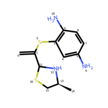 C=C(Sc1cc(N)ccc1N)C1N[C@@H](C)CS1